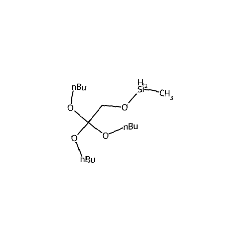 CCCCOC(CO[SiH2]C)(OCCCC)OCCCC